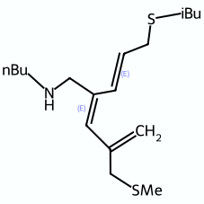 C=C(/C=C(\C=C\CSC(C)CC)CNCCCC)CSC